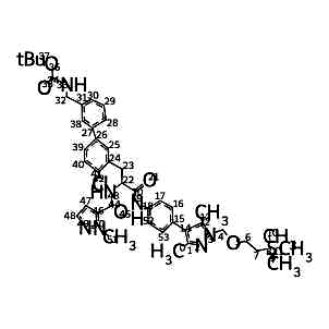 Cc1nn(COCCS(C)(C)C)c(C)c1-c1ccc(NC(=O)[C@H](Cc2cc(-c3cccc(CNC(=O)OC(C)(C)C)c3)ccc2Cl)NC(=O)c2ccnn2C)cc1